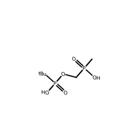 CC(C)(C)P(=O)(O)OCP(C)(=O)O